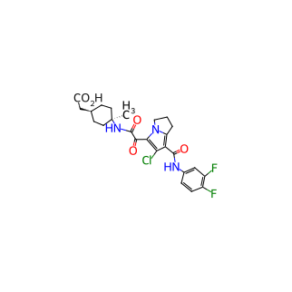 C[C@]1(NC(=O)C(=O)c2c(Cl)c(C(=O)Nc3ccc(F)c(F)c3)c3n2CCC3)CC[C@@H](CC(=O)O)CC1